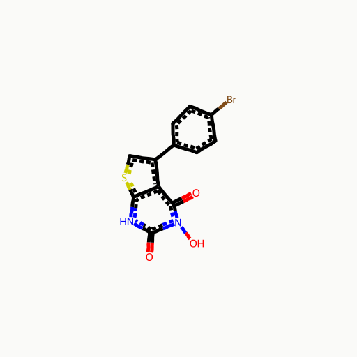 O=c1[nH]c2scc(-c3ccc(Br)cc3)c2c(=O)n1O